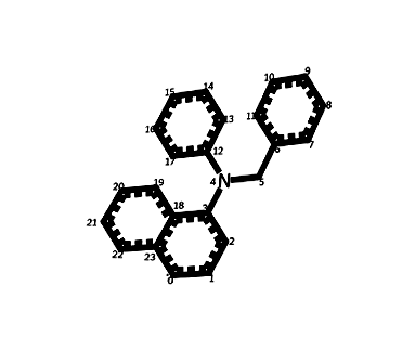 [c]1ccc(N(Cc2ccccc2)c2ccccc2)c2ccccc12